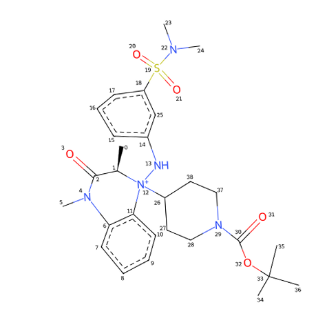 C[C@@H]1C(=O)N(C)c2ccccc2[N+]1(Nc1cccc(S(=O)(=O)N(C)C)c1)C1CCN(C(=O)OC(C)(C)C)CC1